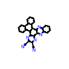 N#Cc1nc2c3nc4ccccc4nc3c3c4ccccc4c4ccccc4c3c2nc1C#N